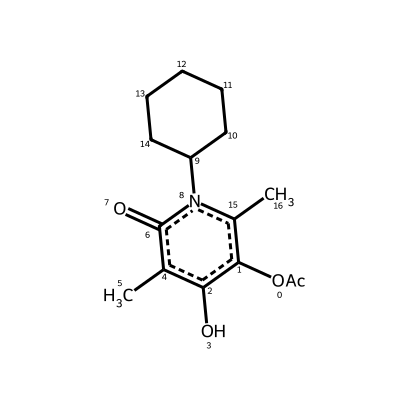 CC(=O)Oc1c(O)c(C)c(=O)n(C2CCCCC2)c1C